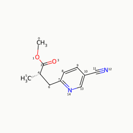 COC(=O)[C@@H](C)Cc1ccc(C#N)cn1